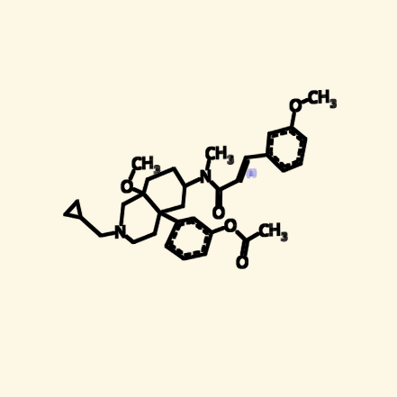 COc1cccc(/C=C/C(=O)N(C)C2CCC3(OC)CN(CC4CC4)CCC3(c3cccc(OC(C)=O)c3)C2)c1